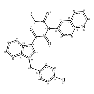 CCC(=O)N(C(=O)C(=O)c1cn(Cc2ccc(Cl)cc2)c2ccccc12)c1ccc2ncccc2c1